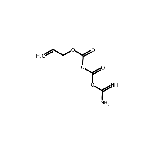 C=CCOC(=O)OC(=O)OC(=N)N